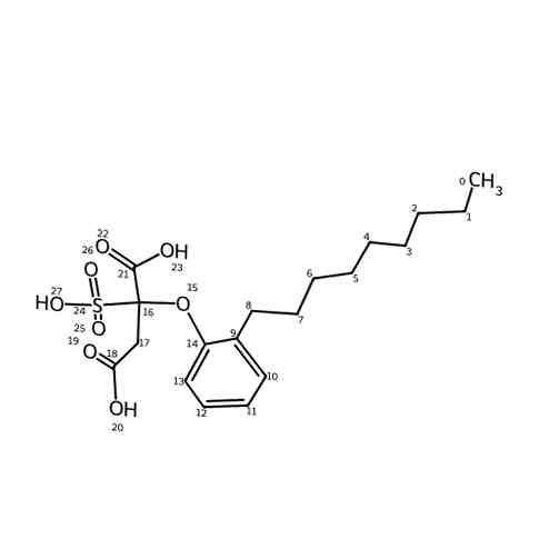 CCCCCCCCCc1ccccc1OC(CC(=O)O)(C(=O)O)S(=O)(=O)O